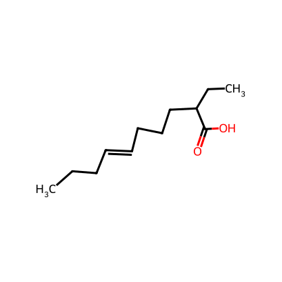 CCCC=CCCCC(CC)C(=O)O